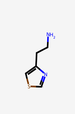 NCCc1cs[c]n1